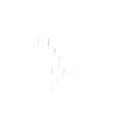 O=C(/C=C/c1cccc(O)c1)c1ccc(OC(F)F)cc1OC(F)F